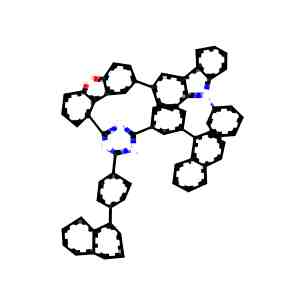 c1ccc(-n2c3ccccc3c3cc(-c4ccc5oc6cccc(-c7nc(-c8ccc(-c9cccc%10ccccc9%10)cc8)nc(-c8cccc(-c9cccc%10ccccc9%10)c8)n7)c6c5c4)ccc32)cc1